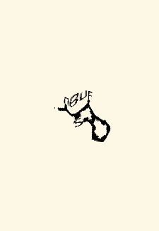 [CH2]C(CCCC)c1sc2ccccc2c1F